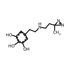 CC1(CCNCCc2cc(O)c(O)c(O)c2)N=N1